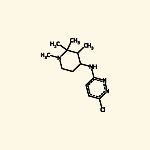 CC1C(Nc2ccc(Cl)nn2)CCN(C)C1(C)C